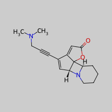 CN(C)CC#CC1=C[C@H]2N3CCCC[C@@H]3C23OC(=O)C=C13